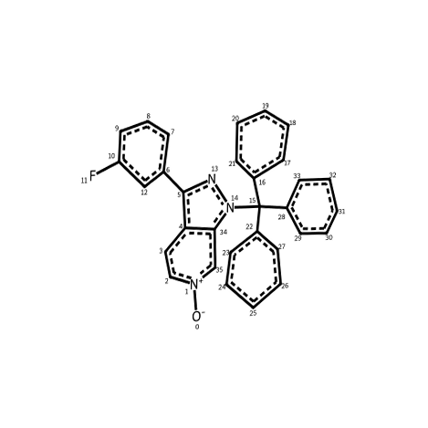 [O-][n+]1ccc2c(-c3cccc(F)c3)nn(C(c3ccccc3)(c3ccccc3)c3ccccc3)c2c1